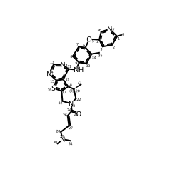 Cc1ccc(Oc2ccc(Nc3ncnc4sc5c(c34)[C@@H](C)CN(C(=O)C=CCN(C)C)C5)cc2C)cn1